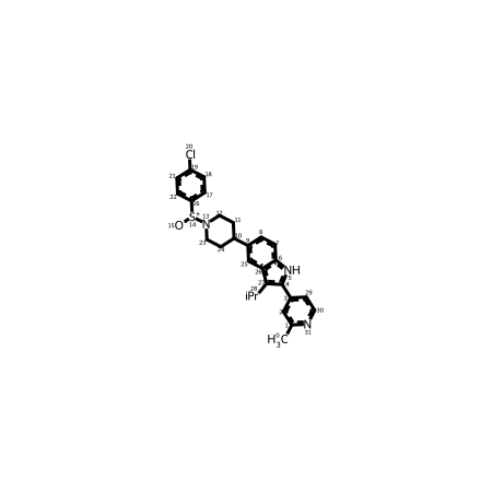 Cc1cc(-c2[nH]c3ccc(C4CCN([S+]([O-])c5ccc(Cl)cc5)CC4)cc3c2C(C)C)ccn1